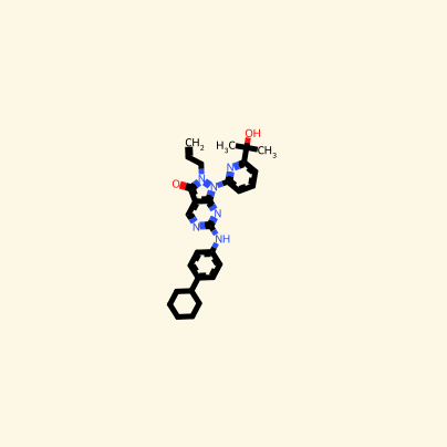 C=CCn1c(=O)c2cnc(Nc3ccc(C4CCCCC4)cc3)nc2n1-c1cccc(C(C)(C)O)n1